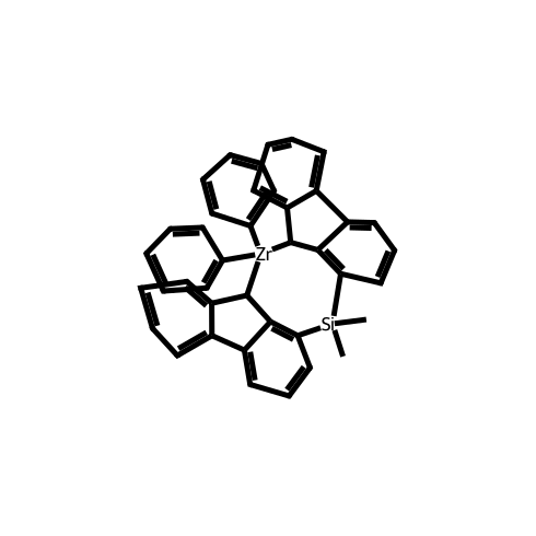 C[Si]1(C)c2cccc3c2[CH](c2ccccc2-3)[Zr]([c]2ccccc2)([c]2ccccc2)[CH]2c3ccccc3-c3cccc1c32